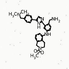 CN(C)Cc1ccc(-c2cnc(-c3cc(Nc4cccc5c4CCN(S(C)(=O)=O)C5)ccc3CN)[nH]2)cc1